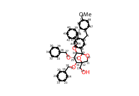 COc1ccc(Cc2cc(C34OCC(CO)(O3)[C@@H](OCc3ccccc3)[C@H](OCc3ccccc3)C4OCc3ccccc3)ccc2C)cc1